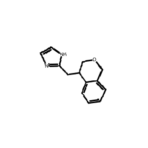 c1ccc2c(c1)COCC2Cc1ncc[nH]1